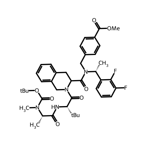 COC(=O)c1ccc(CN(C(=O)C2Cc3ccccc3CN2C(=O)[C@@H](NC(=O)[C@H](C)N(C)C(=O)OC(C)(C)C)C(C)(C)C)[C@H](C)c2cccc(F)c2F)cc1